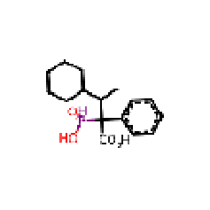 CC(C1CCCCC1)C(C(=O)O)(c1ccccc1)[PH](=O)O